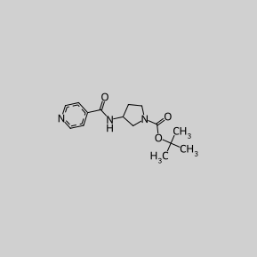 CC(C)(C)OC(=O)N1CCC(NC(=O)c2ccncc2)C1